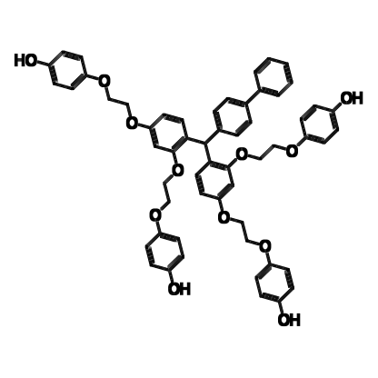 Oc1ccc(OCCOc2ccc(C(c3ccc(-c4ccccc4)cc3)c3ccc(OCCOc4ccc(O)cc4)cc3OCCOc3ccc(O)cc3)c(OCCOc3ccc(O)cc3)c2)cc1